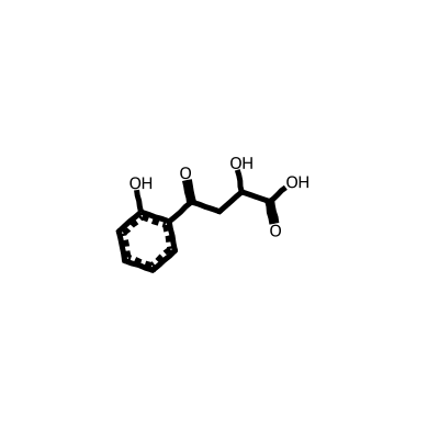 O=C(CC(O)C(=O)O)c1ccccc1O